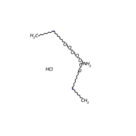 CCCCCCCC/C=C\CCCCCCCCOCCOCCOCCOCCOCC(N)OCCOCCCCCCCC/C=C\CCCCCCCC.Cl